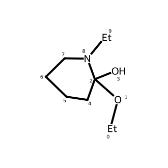 CCOC1(O)CCCCN1CC